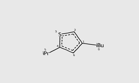 CCC(C)c1csc(C(C)C)c1